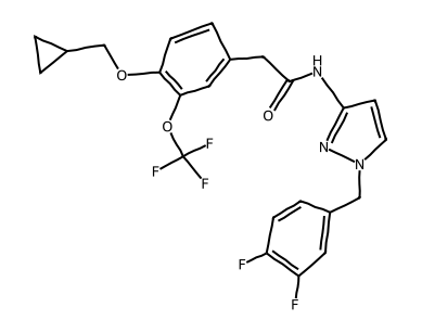 O=C(Cc1ccc(OCC2CC2)c(OC(F)(F)F)c1)Nc1ccn(Cc2ccc(F)c(F)c2)n1